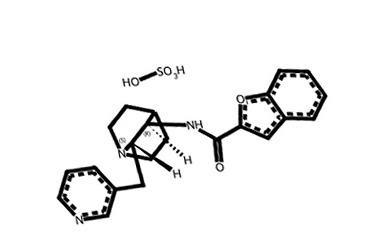 O=C(N[C@@H]1C2CCN(CC2)[C@H]1Cc1cccnc1)c1cc2ccccc2o1.O=S(=O)(O)O